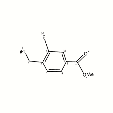 COC(=O)c1ccc(CC(C)C)c(F)c1